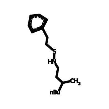 CCCCC(C)CCNSCCc1ccccc1